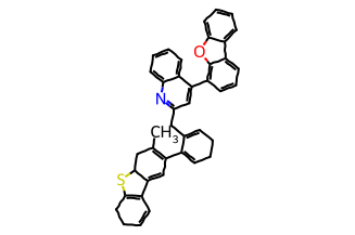 CC1=C(C2=CCCC=C2Cc2cc(-c3cccc4c3oc3ccccc34)c3ccccc3n2)C=C2C3=C(CCC=C3)SC2C1